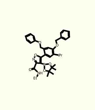 CCNC(=O)c1noc(-c2cc(C(C)C)c(OCc3ccccc3)cc2COc2ccccc2)c1B1OC(C)(C)C(C)(C)O1